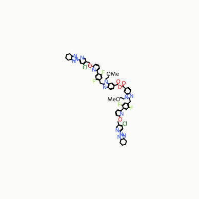 COCCn1c(Cc2cc(F)c(-c3cccc(OCc4cnc(-n5nc6c(n5)CCCC6)cc4Cl)n3)cc2F)nc2ccc(C(=O)OC(=O)c3ccc4nc(Cc5cc(F)c(-c6cccc(OCc7cnc(-n8nc9c(n8)CCCC9)cc7Cl)n6)cc5F)n(CCOC)c4c3)cc21